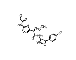 CON=C(C(=O)NC1NOC1c1ccc(Cl)cc1)c1csc(NC(=O)CCl)n1